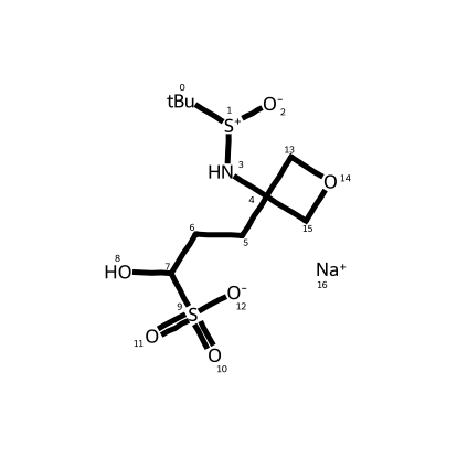 CC(C)(C)[S+]([O-])NC1(CCC(O)S(=O)(=O)[O-])COC1.[Na+]